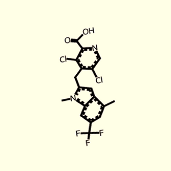 Cc1cc(C(F)(F)F)cc2c1cc(Cc1c(Cl)cnc(C(=O)O)c1Cl)n2C